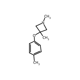 Cc1ccc(OC2(C)CN(C)C2)cc1